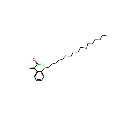 C=C(C(=O)Cl)c1ccccc1CCCCCCCCCCCCCCCCCC